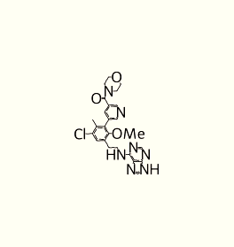 COc1c(CCNc2ncnc3[nH]cnc23)cc(Cl)c(C)c1-c1cncc(C(=O)N2CCOCC2)c1